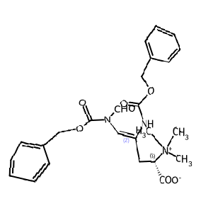 C[N+](C)(C)[C@@H](C/C(=C/N(C=O)C(=O)OCc1ccccc1)NC(=O)OCc1ccccc1)C(=O)[O-]